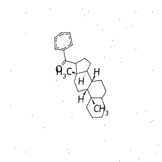 C[C@]12CCCCC1CC[C@@H]1[C@H]2CC[C@]2(C)C(C(=O)c3ccccc3)CC[C@@H]12